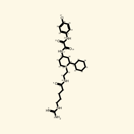 N=C(N)NCCCCC(=O)NCCN1CCC(NC(=O)C(=O)Nc2ccc(Cl)cc2)CC1C1CCCCC1